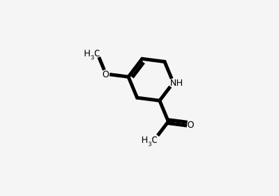 COC1=CCNC(C(C)=O)C1